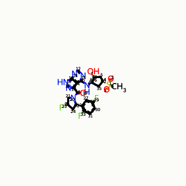 CS(=O)(=O)[C@H]1C[C@@H](O)[C@H](Nc2ncnc3[nH]nc(C(=O)N4C[C@@H](F)C[C@@H]4c4cc(F)ccc4F)c23)C1